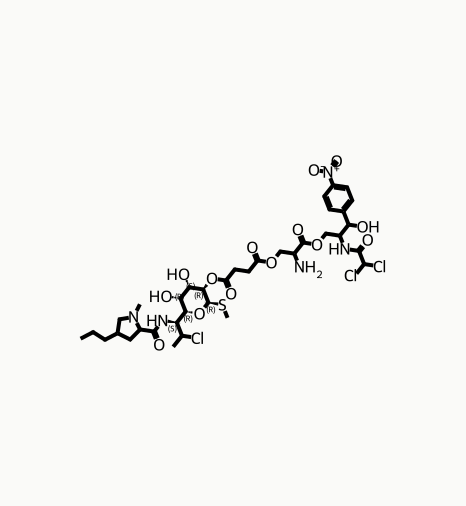 CCCC1CC(C(=O)N[C@H](C(C)Cl)[C@H]2O[C@H](SC)[C@H](OC(=O)CCC(=O)OCC(N)C(=O)OCC(NC(=O)C(Cl)Cl)C(O)c3ccc([N+](=O)[O-])cc3)[C@@H](O)[C@H]2O)N(C)C1